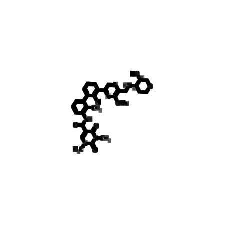 COc1nc(-c2cccc(-c3cccc(NC(=O)c4cn(C)c(=O)n(C)c4=O)c3C)c2Cl)cnc1CN[C@@H]1CCOC[C@@H]1O